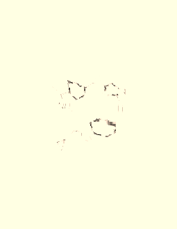 CC(N)c1ccc(Oc2cnc(Oc3ccc(OCC4CC4)cc3)s2)cc1